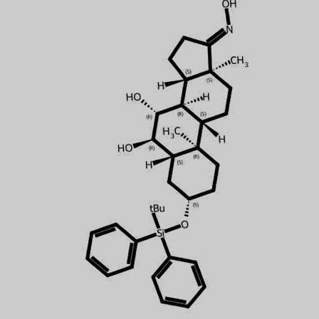 CC(C)(C)[Si](O[C@H]1CC[C@@]2(C)[C@H](C1)[C@@H](O)[C@H](O)[C@@H]1[C@@H]2CC[C@]2(C)C(=NO)CC[C@@H]12)(c1ccccc1)c1ccccc1